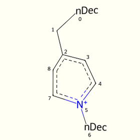 CCCCCCCCCCCc1cc[n+](CCCCCCCCCC)cc1